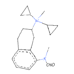 CN(C=O)c1cccc2c1CC([N+](C)(C1CC1)C1CC1)CC2